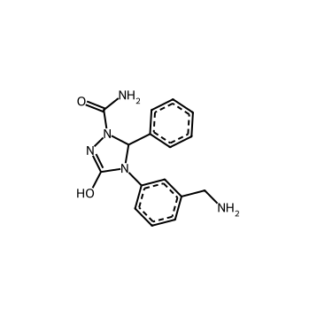 NCc1cccc(N2C(O)=NN(C(N)=O)C2c2ccccc2)c1